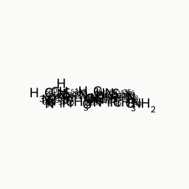 Cc1c(-c2[nH]c3sc([C@H]4C[C@]5(CCN(CCS(=O)(=O)Cc6nc7c(C)cc(-c8[nH]c9sc([C@H]%10C[C@@]%11(CCN(CC(N)=O)C%11)C%10)c(C)c9c8C(C)C)cn7n6)C5)C4)c(C)c3c2C(C)C)cn2ncnc2c1C